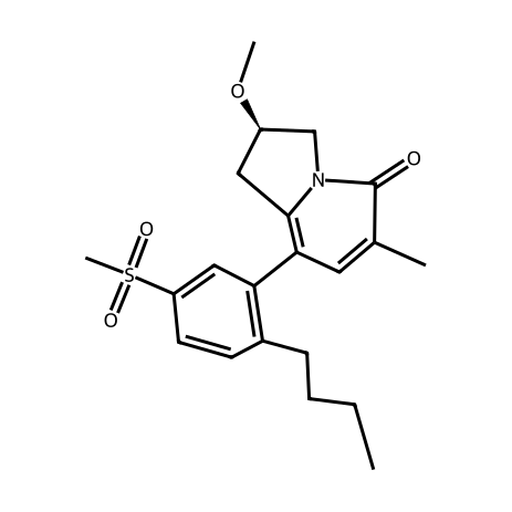 CCCCc1ccc(S(C)(=O)=O)cc1-c1cc(C)c(=O)n2c1C[C@@H](OC)C2